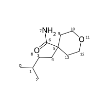 CC(C)CCC1(C(N)=O)CCOCC1